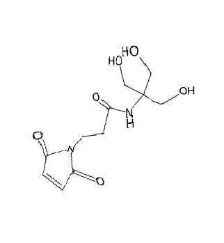 O=C(CCN1C(=O)C=CC1=O)NC(CO)(CO)CO